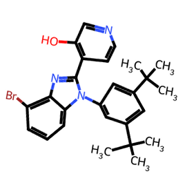 CC(C)(C)c1cc(-n2c(-c3ccncc3O)nc3c(Br)cccc32)cc(C(C)(C)C)c1